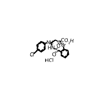 Cl.O=C(O)OCC(Nc1ccc(Cl)cc1)NS(=O)(=O)c1ccccc1Br